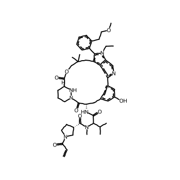 C=CC(=O)N1CC[C@H](C(=O)N(C)C(C(=O)N[C@H]2Cc3cc(O)cc(c3)-c3cc4c(c(-c5ccccc5CCOC)n(CC)c4cn3)CC(C)(C)COC(=O)[C@@H]3CCCN(N3)C2=O)C(C)C)C1